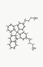 OCCOc1ccc(C2(c3ccc(OCCO)cc3)c3ccccc3-c3cc4ccccc4nc32)cc1